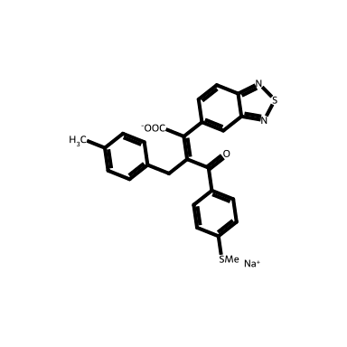 CSc1ccc(C(=O)C(Cc2ccc(C)cc2)=C(C(=O)[O-])c2ccc3nsnc3c2)cc1.[Na+]